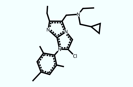 CCc1nc2n(-c3c(C)cc(C)cc3C)c(Cl)cn2c1CN(CC)CC1CC1